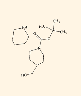 C1CCNCC1.CC(C)(C)OC(=O)N1CCC(CO)CC1